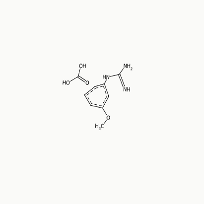 COc1cccc(NC(=N)N)c1.O=C(O)O